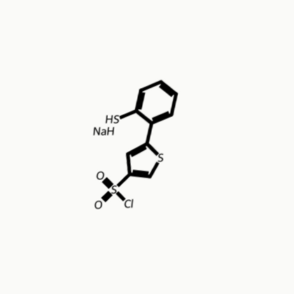 O=S(=O)(Cl)c1csc(-c2ccccc2S)c1.[NaH]